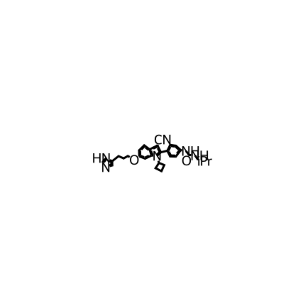 CC(C)NC(=O)Nc1ccc(-c2c(C#N)c3ccc(OCCCc4cnc[nH]4)cc3n2C2CCC2)cc1